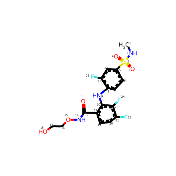 CNS(=O)(=O)c1ccc(Nc2c(C(=O)NOCCO)ccc(F)c2F)c(F)c1